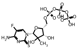 CC1(O)[C@@H](O)[C@@H](COP(=O)(O)OP(=O)(O)OP(=O)(O)O)O[C@H]1n1cc(F)c(N)nc1=S